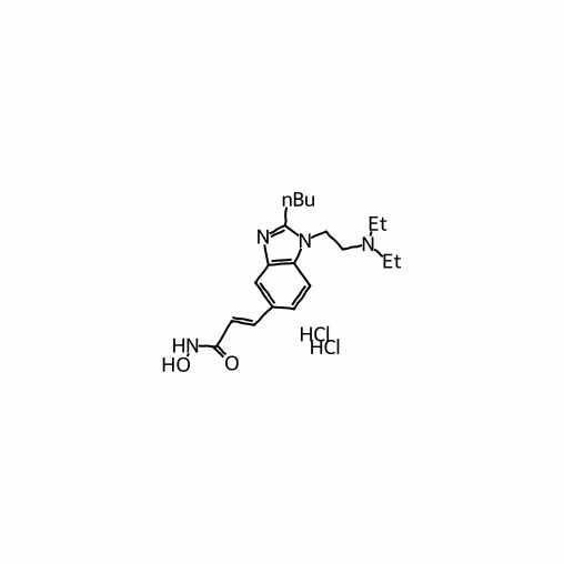 CCCCc1nc2cc(C=CC(=O)NO)ccc2n1CCN(CC)CC.Cl.Cl